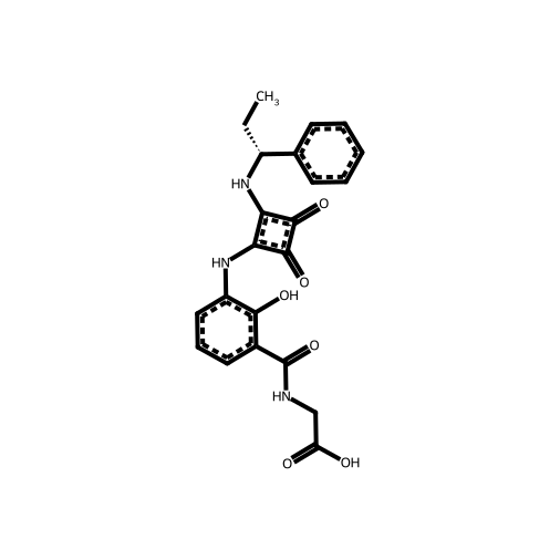 CC[C@@H](Nc1c(Nc2cccc(C(=O)NCC(=O)O)c2O)c(=O)c1=O)c1ccccc1